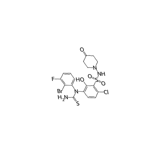 NC(=S)N(c1ccc(Cl)c(S(=O)(=O)NN2CCC(=O)CC2)c1O)c1cccc(F)c1Br